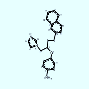 Nc1ccc(OC(CCc2ccc3ccccc3c2)Cn2ccnc2)cc1